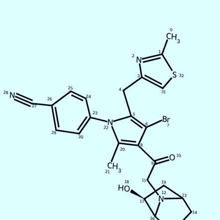 Cc1nc(Cc2c(Br)c(C(=O)CN3C4CCC3[C@@H](O)C4)c(C)n2-c2ccc(C#N)cc2)cs1